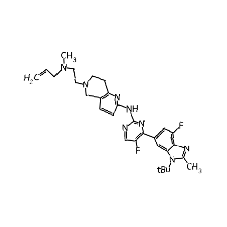 C=CCN(C)CCN1CCc2nc(Nc3ncc(F)c(-c4cc(F)c5nc(C)n(C(C)(C)C)c5c4)n3)ccc2C1